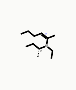 CCC/C=C(/C)N(CC)[C@H](C)CC